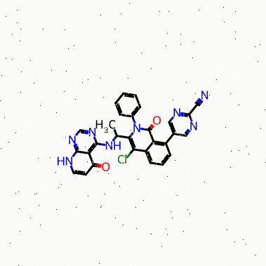 CC(Nc1ncnc2[nH]ccc(=O)c12)c1c(Cl)c2cccc(-c3cnc(C#N)nc3)c2c(=O)n1-c1ccccc1